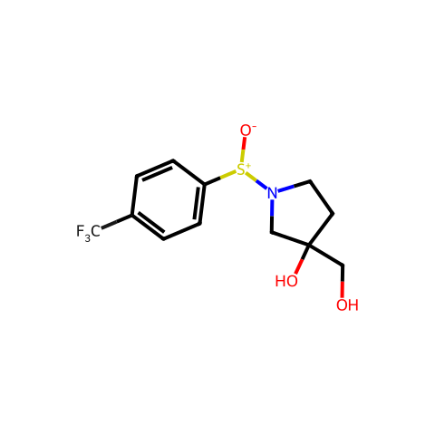 [O-][S+](c1ccc(C(F)(F)F)cc1)N1CCC(O)(CO)C1